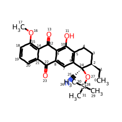 CC[C@@H]1CCc2c(cc3c(c2O)C(=O)c2c(OC)cccc2C3=O)[C@]1(C#N)O[Si](C)(C)C